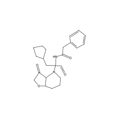 O=CC(CC1CCCC1)(NC(=O)Cc1ccccc1)N1CCCC2OCC(=O)C21